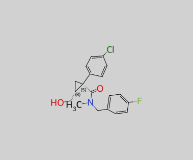 CN(Cc1ccc(F)cc1)C(=O)[C@@]1(c2ccc(Cl)cc2)C[C@H]1CO